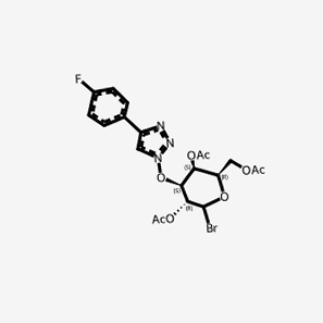 CC(=O)OC[C@H]1OC(Br)[C@H](OC(C)=O)[C@@H](On2cc(-c3ccc(F)cc3)nn2)[C@H]1OC(C)=O